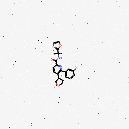 CC(C)(NC(=O)c1ccc(C2CCOC2)c(-c2cccc(Cl)c2)n1)c1ncco1